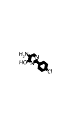 Nc1cnc(-c2ccc(Cl)cc2)nc1O